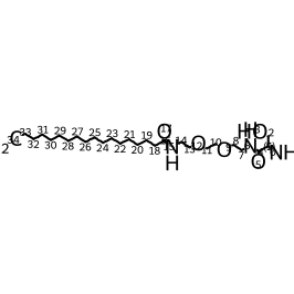 CC(=O)N[C@@H](CO)C(=O)NCCOCCOCCNC(=O)CCCCCCCCCCCCCCCCC(=O)O